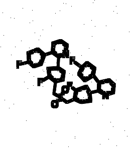 O=S(=O)(Cc1ccc(-c2ncccc2-c2ccc(F)cc2)cc1F)Cc1ccc(-c2ncccc2-c2ccc(F)cc2)cc1F